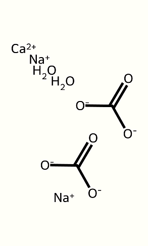 O.O.O=C([O-])[O-].O=C([O-])[O-].[Ca+2].[Na+].[Na+]